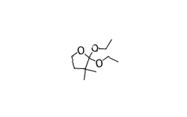 CCOC1(OCC)OCCC1(C)C